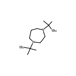 CC(C)(C)C(C)(C)N1CCCN(C(C)(C)C(C)(C)C)CC1